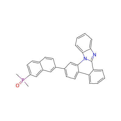 CP(C)(=O)c1ccc2ccc(-c3ccc4c5ccccc5c5nc6ccccc6n5c4c3)cc2c1